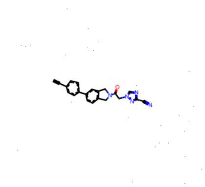 C#Cc1ccc(-c2ccc3c(c2)CN(C(=O)Cn2cnc(C#N)n2)C3)cc1